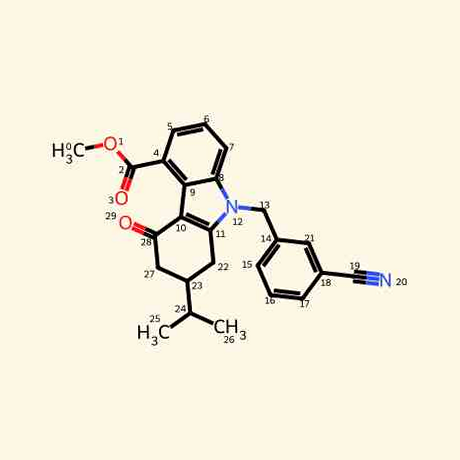 COC(=O)c1cccc2c1c1c(n2Cc2cccc(C#N)c2)CC(C(C)C)CC1=O